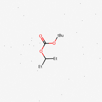 CCC(CC)OC(=O)OC(C)(C)C